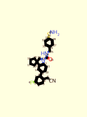 N#CCc1ccc(F)cc1-c1ccc2c(c1)C1(CCCC1)CN2C(=O)NCc1ccc(SN)cc1